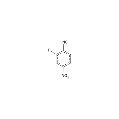 [C-]#[N+]c1ccc([N+](=O)[O-])cc1F